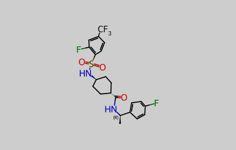 C[C@@H](NC(=O)[C@H]1CC[C@H](NS(=O)(=O)c2ccc(C(F)(F)F)cc2F)CC1)c1ccc(F)cc1